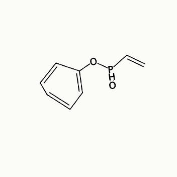 C=C[PH](=O)Oc1ccccc1